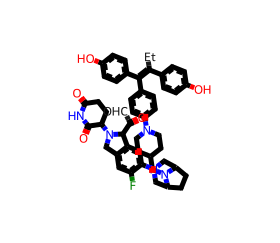 CCC(=C(c1ccc(O)cc1)c1ccc(N2CCC(CN3C4CCC3CN(c3cc5c(cc3F)CN(C3CCC(=O)NC3=O)C5C(=O)C=O)C4)CC2)cc1)c1ccc(O)cc1